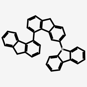 c1ccc2c(c1)Cc1cccc(-c3cccc4c3-c3cc(-n5c6ccccc6c6ccccc65)ccc3C4)c1-2